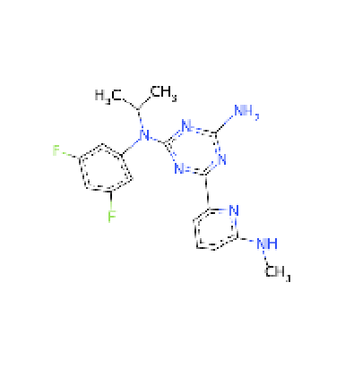 CNc1cccc(-c2nc(N)nc(N(c3cc(F)cc(F)c3)C(C)C)n2)n1